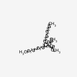 CCOCCOCCOCCOc1cc(OCCOCCOCCOCC)cc(N(CC(=O)OC)CC(=O)OC)c1